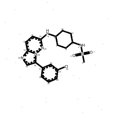 CS(=O)(=O)NC1CCC(Nc2ccc3ncc(-c4cccc(Cl)c4)n3n2)CC1